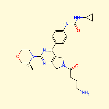 C[C@H]1COCCN1c1nc2c(c(-c3ccc(NC(=O)NC4CC4)cc3)n1)CN(C(=O)CCCN)C2